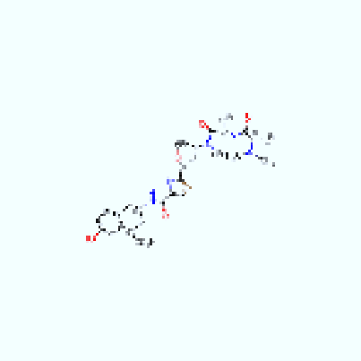 CCCO[C@H](CC(C(C)C)N(CCC)C(=O)[C@@H](NC(=O)[C@@H]([C@@H](C)CC)N(C)C)[C@@H](C)CC)c1nc(C(=O)N[C@H]2Cc3ccc(O)cc3[C@H](C(=O)O)C2)cs1